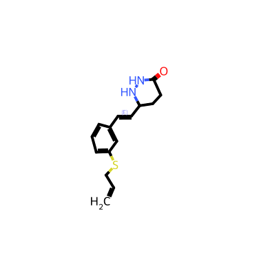 C=CCSc1cccc(/C=C/C2CCC(=O)NN2)c1